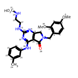 COc1ccc(CN2Cc3nc(NCCNC(=O)O)nc(Nc4cccc(C)c4)c3C2=O)c(OC)c1